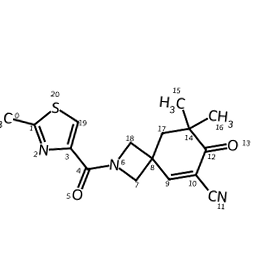 Cc1nc(C(=O)N2CC3(C=C(C#N)C(=O)C(C)(C)C3)C2)cs1